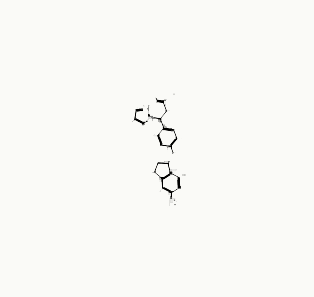 O=C(O)CC(c1ccc(OC2CCc3cc(Br)ccc32)cc1)n1cccn1